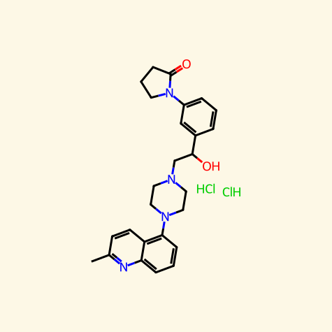 Cc1ccc2c(N3CCN(CC(O)c4cccc(N5CCCC5=O)c4)CC3)cccc2n1.Cl.Cl